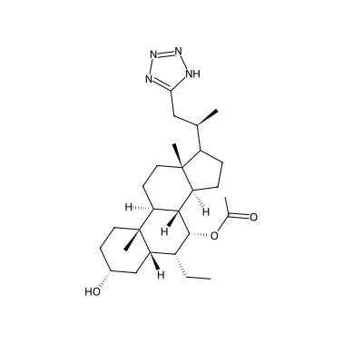 CC[C@H]1[C@@H](OC(C)=O)[C@@H]2[C@H](CC[C@]3(C)C([C@H](C)Cc4nnn[nH]4)CC[C@@H]23)[C@@]2(C)CC[C@@H](O)C[C@@H]12